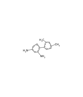 Cc1ccc(-c2ccc(N)cc2N)c(C)c1